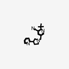 CC(C)(C)c1ncc(CN2CCC(c3ccccn3)C2)cc1C#N